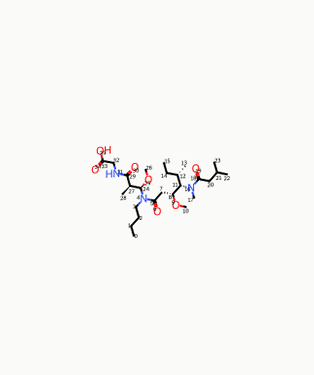 CCCCN(C(=O)C[C@@H](OC)[C@H]([C@@H](C)CC)N(C)C(=O)CC(C)C)[C@H](OC)[C@@H](C)C(=O)NCC(=O)O